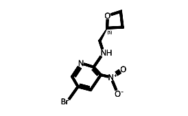 O=[N+]([O-])c1cc(Br)cnc1NC[C@@H]1CCO1